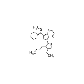 CCCCc1c(CC)csc1-c1sc(C(SC)=C2CCCCC2)c2c1SCCS2